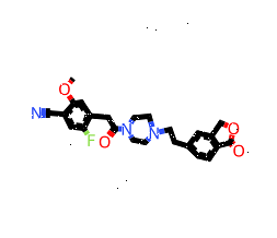 COc1cc(CC(=O)N2CCN(CCc3ccc4c(c3)COC4=O)CC2)c(F)cc1C#N